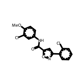 COc1ccc(NC(=O)c2cc(-c3ccccc3Cl)no2)cc1Cl